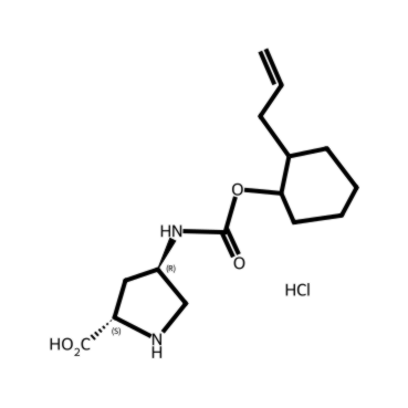 C=CCC1CCCCC1OC(=O)N[C@H]1CN[C@H](C(=O)O)C1.Cl